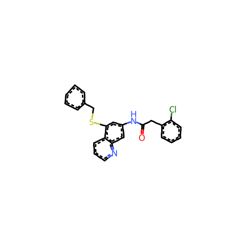 O=C(Cc1ccccc1Cl)Nc1cc(SCc2ccccc2)c2cccnc2c1